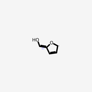 O/C=C1/C=C[CH]O1